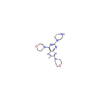 Cc1nc2c(N3CCOCC3)nc(N3CCNCC3)nc2nc1N1CCOCC1